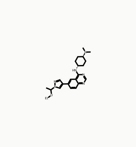 CCOC(C)n1cc(-c2ccc3ncnc(N[C@H]4CC[C@H](N(C)C)CC4)c3c2)cn1